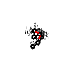 Bc1c(B)c(B)c(-c2cccc(-n3c4ccccc4c4ccc5c6ccccc6[nH]c5c43)c2-c2c(B)c(B)c(B)c(B)c2B)c(B)c1B